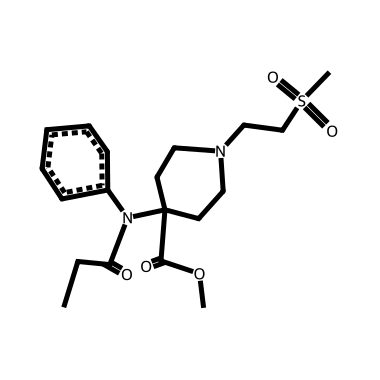 CCC(=O)N(c1ccccc1)C1(C(=O)OC)CCN(CCS(C)(=O)=O)CC1